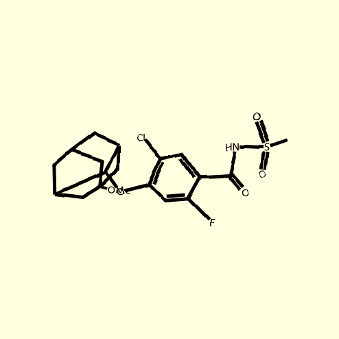 COC12CC3CC(C1)C(Oc1cc(F)c(C(=O)NS(C)(=O)=O)cc1Cl)C(C3)C2